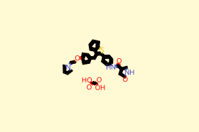 O=C(O)C(=O)O.O=C1CC(C(=O)Nc2ccc(-c3sc4ccccc4c3Cc3ccc(OCCN4CCCC4)cc3)cc2)CN1